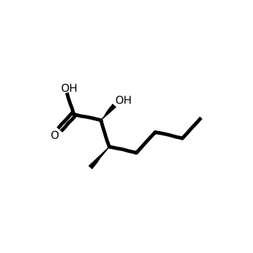 CCCC[C@@H](C)[C@H](O)C(=O)O